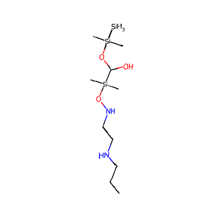 CCCNCCNO[Si](C)(C)C(O)O[Si](C)(C)[SiH3]